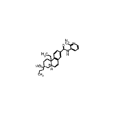 CCC[C@@]1(O)CCC2(CC)c3ccc(C(=O)Nc4cccnc4C)cc3C=C[C@H]2C1